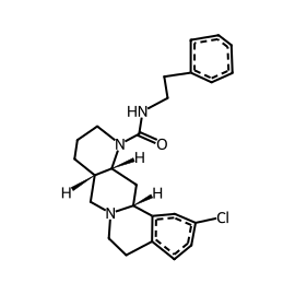 O=C(NCCc1ccccc1)N1CCC[C@H]2CN3CCc4ccc(Cl)cc4[C@H]3C[C@H]21